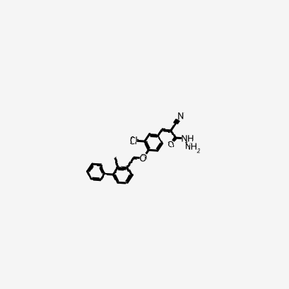 Cc1c(COc2ccc(C=C(C#N)C(=O)NN)cc2Cl)cccc1-c1ccccc1